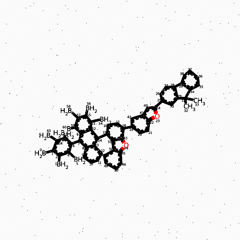 Bc1c(B)c(B)c(-c2c3ccccc3c(-c3ccc(-c4ccc5oc(-c6ccc7c(c6)C(C)(C)c6ccccc6-7)cc5c4)c4oc5ccccc5c34)c3c(B)c(B)c(B)c(B)c23)c(B)c1B